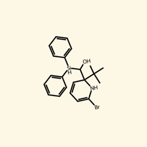 CC(C)(C)C1(C(O)[SiH](c2ccccc2)c2ccccc2)C=CC=C(Br)N1